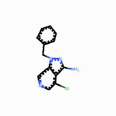 Nc1nn(Cc2ccccc2)c2cncc(Cl)c12